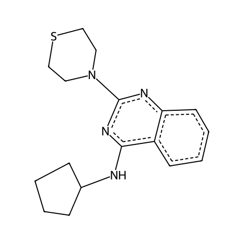 c1ccc2c(NC3CCCC3)nc(N3CCSCC3)nc2c1